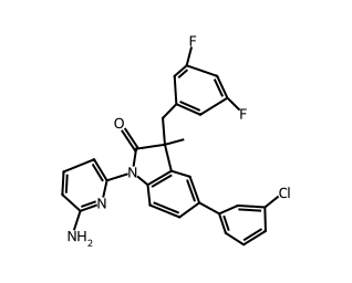 CC1(Cc2cc(F)cc(F)c2)C(=O)N(c2cccc(N)n2)c2ccc(-c3cccc(Cl)c3)cc21